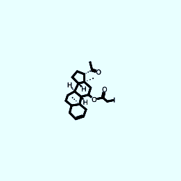 CC(=O)[C@H]1CC[C@H]2[C@@H]3CCC4CC=CC[C@]4(C)[C@H]3C(OC(=O)CI)C[C@]12C